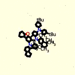 Cc1cc2c(cc1N1B3c4c(cc5c(oc6ccccc65)c4-c4ccc(N(c5ccc(C(C)(C)C)cc5)c5ccc(C(C)(C)C)cc5)cc41)-n1c4ccc5ccccc5c4c4cccc3c41)C(C)(C)CCC2(C)C